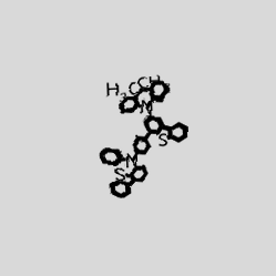 CC1(C)c2ccccc2N(c2cc(-c3ccc(N(c4ccccc4)c4cccc5c4sc4ccccc45)cc3)c3sc4ccccc4c3c2)c2ccccc21